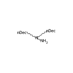 CCCCCCCCCCCCCCCCCCN(CCCN)CCCCCCCCCCCCCCCCCC